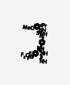 COc1ccc(C(C)C)c(NC(=S)N/N=C/c2ccc(-c3nc(NCCC=N)n(-c4ccc(OC(F)(F)C(F)(F)F)cc4)n3)cc2)c1